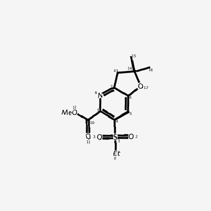 CCS(=O)(=O)c1cc2c(nc1C(=O)OC)CC(C)(C)O2